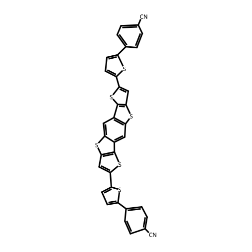 N#Cc1ccc(-c2ccc(-c3cc4sc5cc6c(cc5c4s3)sc3cc(-c4ccc(-c5ccc(C#N)cc5)s4)sc36)s2)cc1